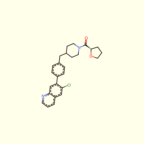 O=C([C@H]1CCCO1)N1CCC(Cc2ccc(-c3cc4ncccc4cc3Cl)cc2)CC1